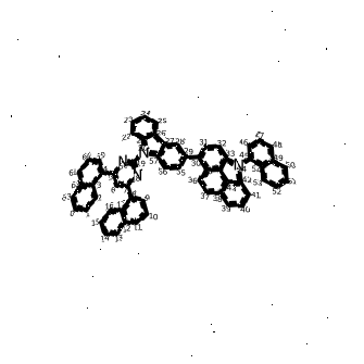 c1ccc2c(-c3cc(-c4cccc5ccccc45)nc(-n4c5ccccc5c5cc(-c6ccc7c8c6ccc6cccc(c68)n7-c6cccc7ccccc67)ccc54)n3)cccc2c1